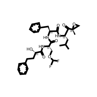 CC(C)C[C@H](NC(=O)[C@H](Cc1ccccc1)NC(=O)[C@H](COC(F)F)NC(=O)[C@@H](O)CCc1ccccc1)C(=O)[C@@]1(C)CO1